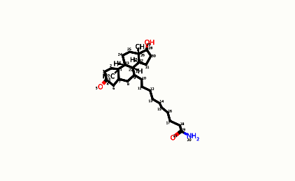 C[C@]12CCC(=O)CC1CC(CCCCCCCCCC(N)=O)[C@@H]1[C@H]2CC[C@]2(C)C(O)CC[C@@H]12